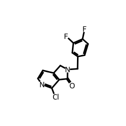 O=C1c2c(ccnc2Cl)CN1Cc1ccc(F)c(F)c1